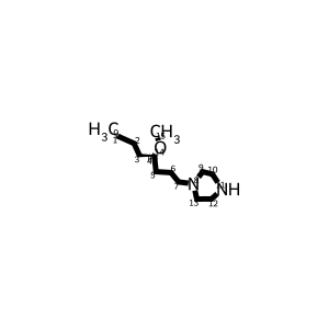 CCCC[C@H](CCCN1CCNCC1)OC